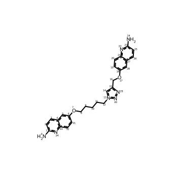 Nc1ccc2cc(OCCCCCn3cc(COc4ccc5nc(N)ccc5c4)nn3)ccc2n1